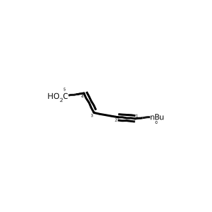 CCCCC#CC=CC(=O)O